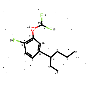 CCCC(CC)c1ccc(F)c(OC(F)F)c1